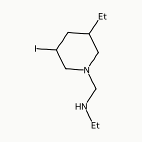 CCNCN1CC(I)CC(CC)C1